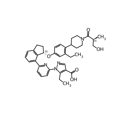 CCc1cc(O[C@H]2CCc3cccc(-c4cccc(-n5ncc(C(=O)O)c5CC)n4)c32)ccc1C1CCN(C(=O)[C@@H](C)CO)CC1